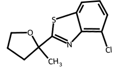 CC1(c2nc3c(Cl)cccc3s2)CCCO1